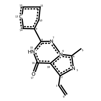 C=Cc1nc(C)n2nc(-c3ccccc3)[nH]c(=O)c12